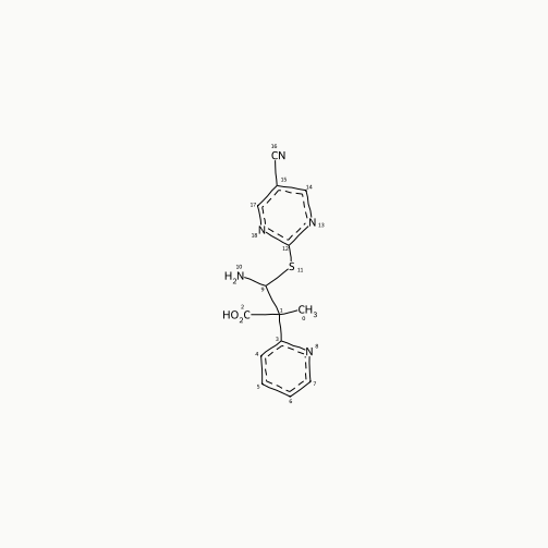 CC(C(=O)O)(c1ccccn1)C(N)Sc1ncc(C#N)cn1